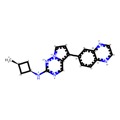 C[C@H]1C[C@@H](Nc2ncc3c(-c4ccc5nccnc5c4)ccn3n2)C1